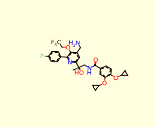 C[C@](O)(CNC(=O)c1ccc(OC2CC2)c(OC2CC2)c1)c1cc(CN)c(OCC(F)(F)F)c(-c2ccc(F)cc2)n1